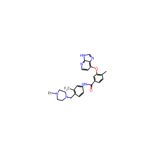 CCN1CCN(Cc2ccc(NC(=O)c3ccc(C)c(Oc4ccnc5[nH]cnc45)c3)cc2C(F)(F)F)CC1